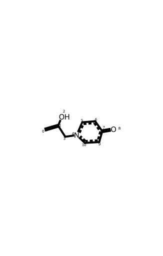 C=C(O)Cn1ccc(=O)cc1